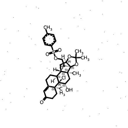 Cc1ccc(S(=O)(=O)OCC(=O)[C@@]23OC(C)(C)O[C@@H]2C[C@H]2[C@@H]4CCC5=CC(=O)CC[C@]5(C)[C@@]4(Cl)[C@@H](O)C[C@@]23C)cc1